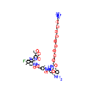 CCC1C(=O)OCc2c1cc1n(c2=O)Cc2c-1nc1cc(F)c(C)c3c1c2[C@@H](NC(=O)OCc1ccc(NC(=O)[C@H](CCCCN)NC(=O)[C@H](Cc2ccccc2)NC(=O)CCOCCOCCOCCOCCOCCOCCOCCOCCOCCN=[N+]=[N-])c(C)c1)CC3